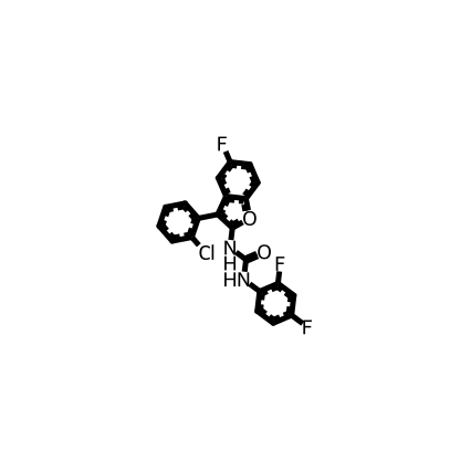 O=C(Nc1ccc(F)cc1F)Nc1oc2ccc(F)cc2c1-c1ccccc1Cl